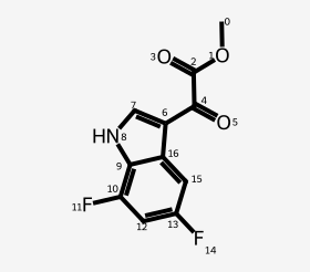 COC(=O)C(=O)c1c[nH]c2c(F)cc(F)cc12